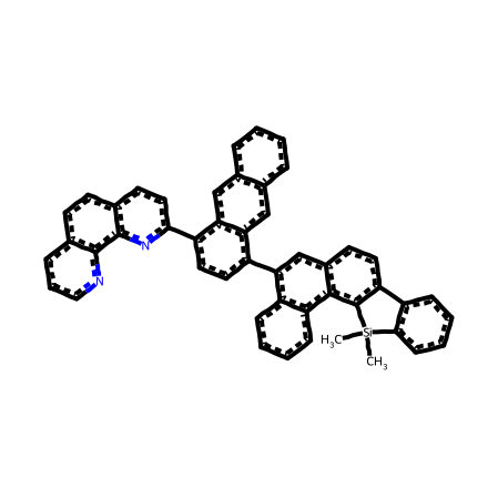 C[Si]1(C)c2ccccc2-c2ccc3cc(-c4ccc(-c5ccc6ccc7cccnc7c6n5)c5cc6ccccc6cc45)c4ccccc4c3c21